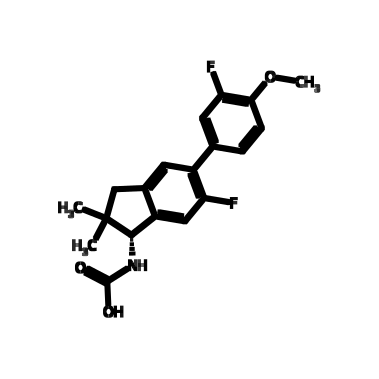 COc1ccc(-c2cc3c(cc2F)[C@H](NC(=O)O)C(C)(C)C3)cc1F